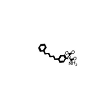 NC(=O)n1c(=O)oc2cc(CCCCCc3ccccc3)ccc21